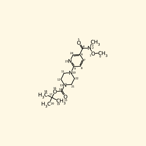 CON(C)C(=O)c1ccc(N2CCN(C(=O)OC(C)(C)C)CC2)nc1